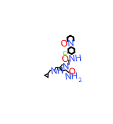 NC(=O)C1[CH][C@@H](CNCC2CC2)CN1CC(=O)Nc1ccc(-n2ccccc2=O)cc1F